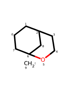 C1CC2CCOC(C1)C2.[CH2]